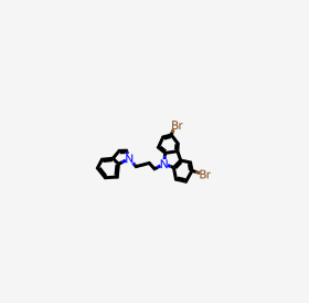 Brc1ccc2c(c1)c1cc(Br)ccc1n2CCCn1ccc2ccccc21